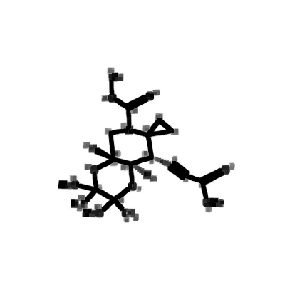 COC(=O)C#C[C@@H]1[C@H]2OC(C)(OC)C(C)(OC)O[C@@H]2CN(C(=O)OC(C)(C)C)C12CC2